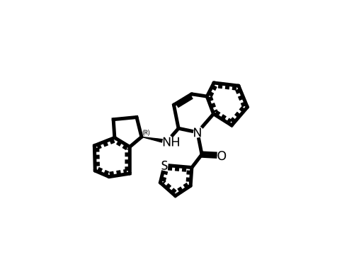 O=C(c1cccs1)N1c2ccccc2C=CC1N[C@@H]1CCc2ccccc21